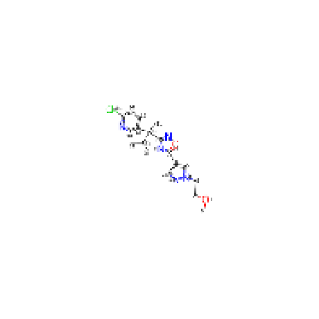 COCCn1cc(-c2nc(C(C)(c3ccc(Cl)nc3)C(C)C)no2)cn1